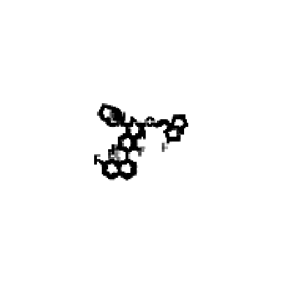 CCc1c(F)ccc2cccc(-c3c(F)cc4c(N5CC6CCC(C5)N6)nc(O/C=C/C56CCCN5C[C@H](F)C6)nc4c3F)c12